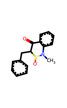 CN1c2ccccc2C(=O)C(Cc2ccccc2)[S+]1[O-]